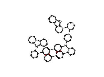 c1ccc(-c2ccc(-c3ccccc3N(c3ccc(-c4ccc(-c5ccccc5-n5c6ccccc6c6ccccc65)cc4)cc3)c3ccc(-c4ccccc4-c4cccc5c4oc4ccccc45)cc3)cc2)cc1